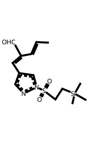 C/C=C/C(C=O)=C\c1cnn(S(=O)(=O)CC[Si](C)(C)C)c1